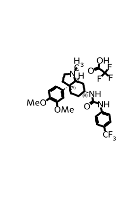 COc1ccc([C@@]23CC[C@@H](NC(=O)Nc4ccc(C(F)(F)F)cc4)C[C@@H]2N(C)CC3)cc1OC.O=C(O)C(F)(F)F